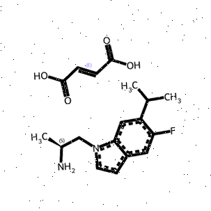 CC(C)c1cc2c(ccn2C[C@H](C)N)cc1F.O=C(O)/C=C/C(=O)O